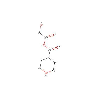 O=C(CBr)OC(=O)C1CCOCC1